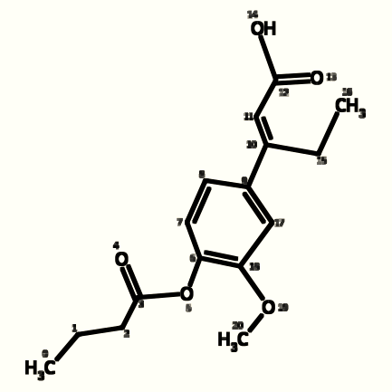 CCCC(=O)Oc1ccc(C(=CC(=O)O)CC)cc1OC